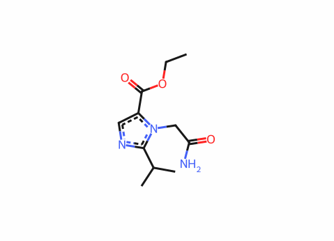 CCOC(=O)c1cnc(C(C)C)n1CC(N)=O